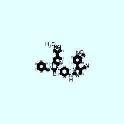 Cn1cc(-c2ccc(N(C(=O)NCc3ccccc3)[C@H]3CC[C@H](Nc4ncc(C#N)c(-c5ccc6nonc6c5)n4)CC3)nc2)cn1